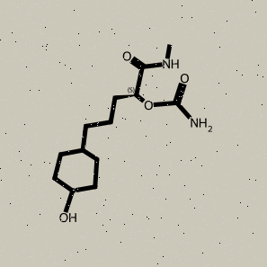 CNC(=O)[C@H](CCCC1CCC(O)CC1)OC(N)=O